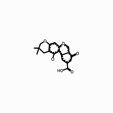 CC1(C)COc2cc3occ4c(=O)cc(C(=O)O)cc-4c3c(Cl)c2C1